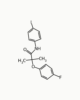 CC(C)(Oc1ccc(F)cc1)C(=O)Nc1ccc(I)cc1